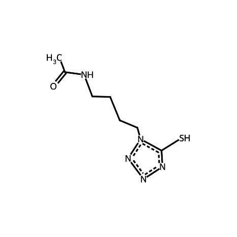 CC(=O)NCCCCn1nnnc1S